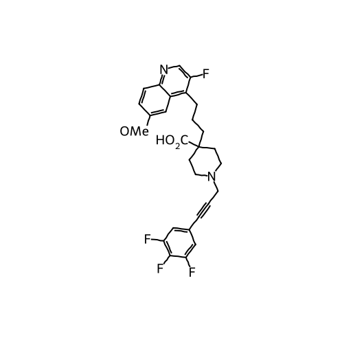 COc1ccc2ncc(F)c(CCCC3(C(=O)O)CCN(CC#Cc4cc(F)c(F)c(F)c4)CC3)c2c1